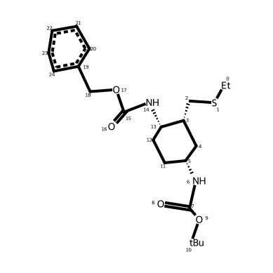 CCSC[C@@H]1C[C@H](NC(=O)OC(C)(C)C)CC[C@@H]1NC(=O)OCc1ccccc1